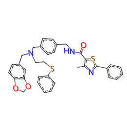 Cc1nc(-c2ccccc2)sc1C(=O)NCc1ccc(CN(CCSc2ccccc2)Cc2ccc3c(c2)OCO3)cc1